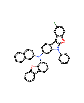 Clc1ccc2oc3c(c2c1)c1ccc(N(c2ccc4ccccc4c2)c2cccc4c2oc2ccccc24)cc1n3-c1ccccc1